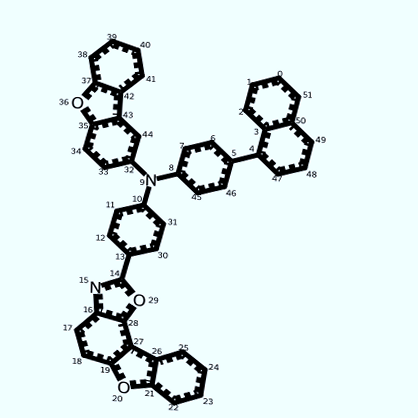 c1ccc2c(-c3ccc(N(c4ccc(-c5nc6ccc7oc8ccccc8c7c6o5)cc4)c4ccc5oc6ccccc6c5c4)cc3)cccc2c1